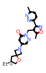 CC[C@@H]1COC2(C1)CN(c1cnn(Cc3c(-c4ccc(C)nn4)noc3C)c(=O)c1)C2